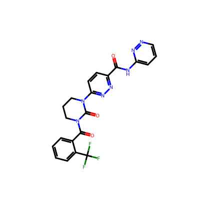 O=C(Nc1cccnn1)c1ccc(N2CCCN(C(=O)c3ccccc3C(F)(F)F)C2=O)nn1